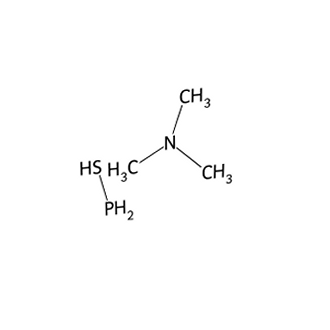 CN(C)C.PS